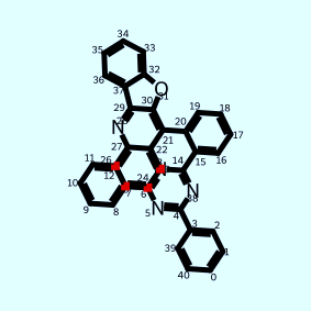 c1ccc(-c2nc(-c3ccccc3)nc(-c3ccccc3-c3c4ccccc4nc4c3oc3ccccc34)n2)cc1